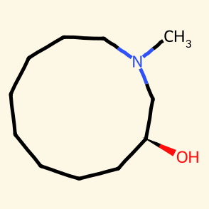 CN1CCCCCCCC[C@H](O)C1